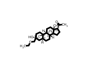 CCOC[C@@]1(O)CC[C@@]2(C)[C@@H](CC[C@@H]3[C@@H]2CC[C@]2(C)[C@@H](C(C)=O)CC[C@@H]32)C1